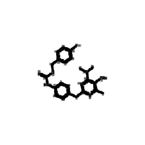 CC(=O)Oc1c(C)nc(Cc2ccc(NC(=O)OCc3ccc(F)cc3)cc2)nc1N(C)C